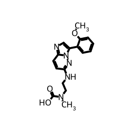 COc1ccccc1-c1cnc2ccc(NCCN(C)C(=O)O)nn12